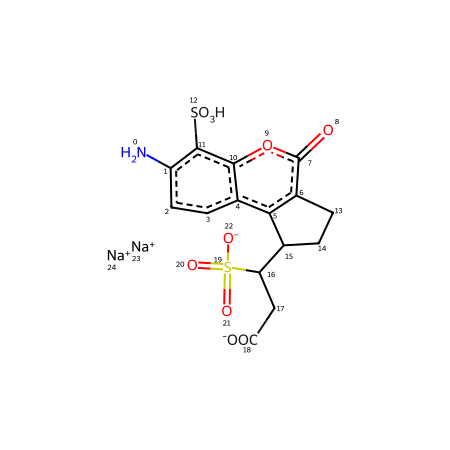 Nc1ccc2c3c(c(=O)oc2c1S(=O)(=O)O)CCC3C(CC(=O)[O-])S(=O)(=O)[O-].[Na+].[Na+]